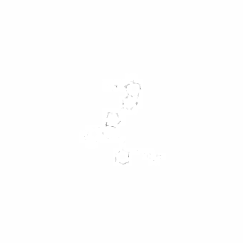 CCOC(=O)Cc1ccccc1OC1CC2(CCOCC2)c2ccc(-c3ccc4ccnc(N)c4c3)cc21